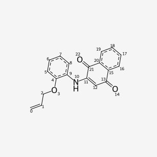 C=CCOc1ccccc1NC1=CC(=O)c2ccccc2C1=O